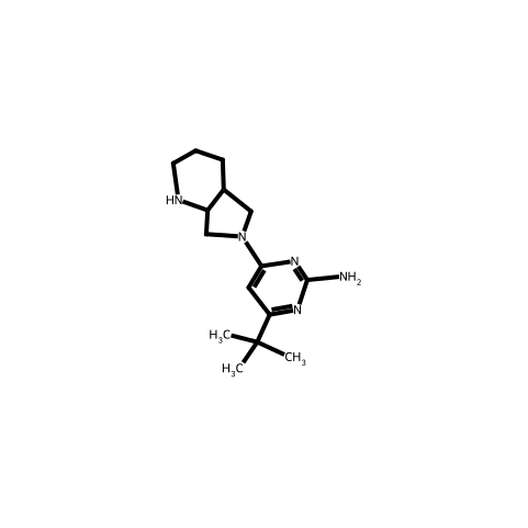 CC(C)(C)c1cc(N2CC3CCCNC3C2)nc(N)n1